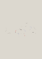 O=C(Cc1cccs1)NC1C(=O)N2CC(C[n+]3ccccc3)(C(=O)[O-])CS[C@H]12